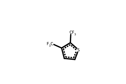 FC(F)(F)c1ccsc1C(F)(F)F